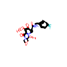 O=C(NCc1ccc(F)cc1)c1cn2c(c(O)c1=O)C(=O)N1CCOCC1C2O